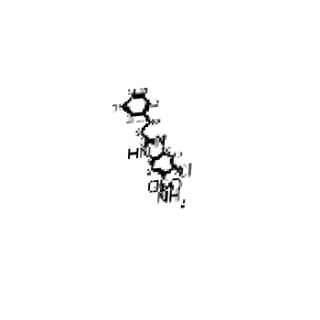 NS(=O)(=O)c1cc2[nH]c(CCc3ccccc3)nc2cc1Cl